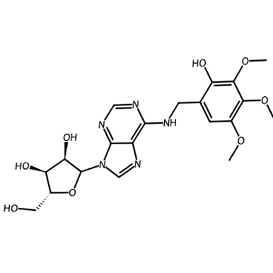 COc1cc(CNc2ncnc3c2ncn3C2O[C@H](CO)[C@@H](O)[C@H]2O)c(O)c(OC)c1OC